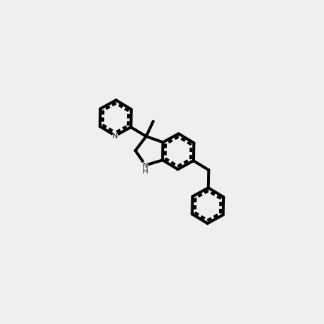 CC1(c2ccccn2)CNc2cc(Cc3ccccc3)ccc21